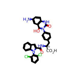 Nc1ccc2c(c1)C(O)N(c1ccc(C[C@H](NC(=O)c3cc4ccccc4n3-c3c(Cl)cccc3Cl)C(=O)O)cc1)C(=O)N2